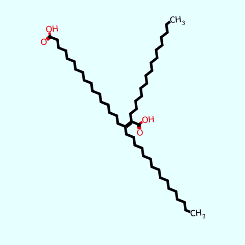 CCCCCCCCCCCCCCCCC(CCCCCCCCCCCCCCCCC(=O)O)=C(CCCCCCCCCCCCCCCC)C(=O)O